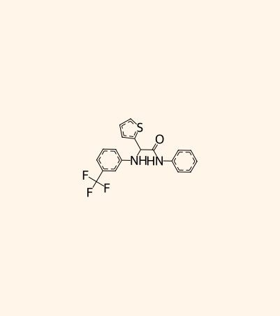 O=C(Nc1ccccc1)C(Nc1cccc(C(F)(F)F)c1)c1cccs1